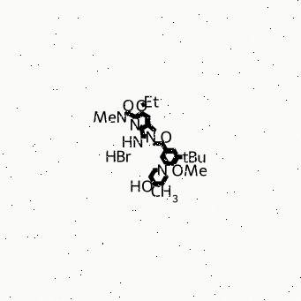 Br.CCOc1cc2c(nc1C(=O)NC)C(=N)N(CC(=O)c1cc(N3CCC(C)(O)CC3)c(OC)c(C(C)(C)C)c1)C2